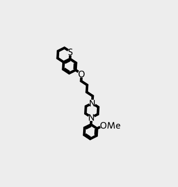 COc1ccccc1N1CCN(CCCCOc2ccc3c(c2)SCCC3)CC1